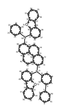 c1ccc(-c2cccc(N(c3ccc4ccc5c(N(c6ccccc6)c6cccc7c6oc6ccccc67)ccc6ccc3c4c65)c3cccc4c3oc3ccccc34)c2)cc1